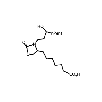 CCCCCC(O)CCN1C(=O)OCC1CCCCCCC(=O)O